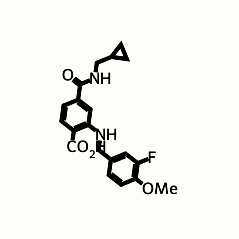 COc1ccc(CNc2cc(C(=O)NCC3CC3)ccc2C(=O)O)cc1F